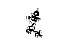 O=C1Nc2nc(-c3cn4ccnc4c(CCC(F)(F)C(F)(F)F)n3)nc3c2C1(c1ccc(F)cn1)C1CN31